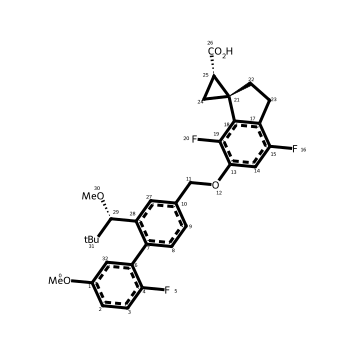 COc1ccc(F)c(-c2ccc(COc3cc(F)c4c(c3F)[C@]3(CC4)C[C@@H]3C(=O)O)cc2[C@@H](OC)C(C)(C)C)c1